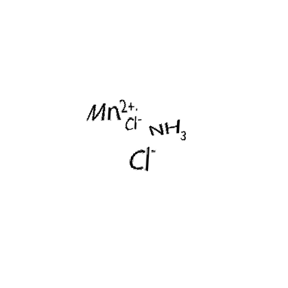 N.[Cl-].[Cl-].[Mn+2]